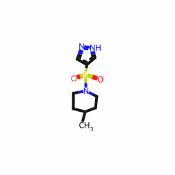 CC1CCN(S(=O)(=O)c2cn[nH]c2)CC1